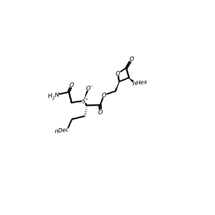 CCCCCCCCCCCC[C@@H](C(=O)OC[C@H]1OC(=O)[C@H]1CCCCCC)[S@+]([O-])CC(N)=O